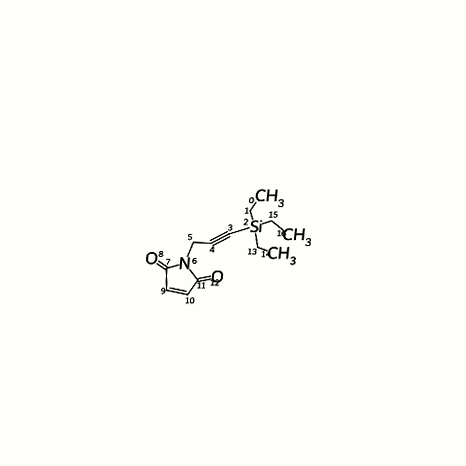 CC[Si](C#CCN1C(=O)C=CC1=O)(CC)CC